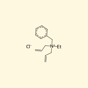 C=CC[N+](CC)(CC=C)Cc1ccccc1.[Cl-]